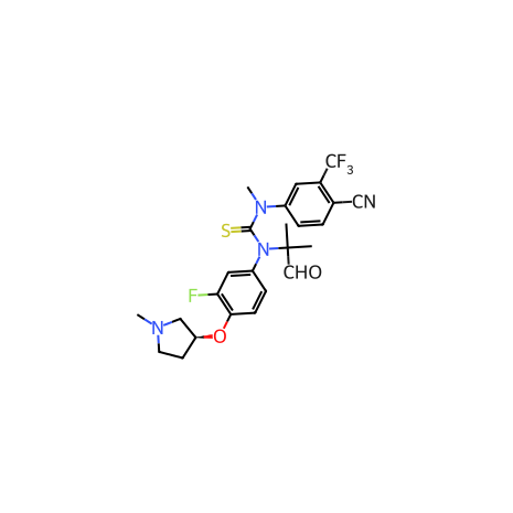 CN1CC[C@H](Oc2ccc(N(C(=S)N(C)c3ccc(C#N)c(C(F)(F)F)c3)C(C)(C)C=O)cc2F)C1